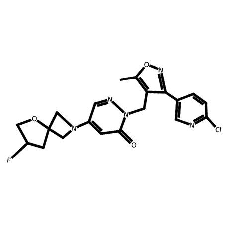 Cc1onc(-c2ccc(Cl)nc2)c1Cn1ncc(N2CC3(CC(F)CO3)C2)cc1=O